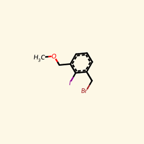 COCc1cccc(CBr)c1I